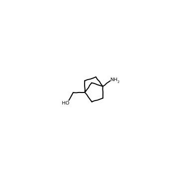 NC12CCC(CO)(CC1)C2